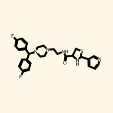 O=C(NCCN1CCN(C(c2ccc(F)cc2)c2ccc(F)cc2)CC1)C1CSC(c2cccnc2)N1